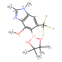 COc1c(B2OC(C)(C)C(C)(C)O2)c(C(F)(F)F)cc2c1nc(C)n2C